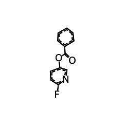 O=C(Oc1ccc(F)nc1)c1ccccc1